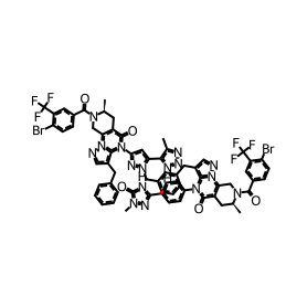 Cc1nn[nH]c1-c1cc(-n2c(=O)c3c(n4ncc(Cc5ccccc5)c24)CN(C(=O)c2ccc(Br)c(C(F)(F)F)c2)[C@@H](C)C3)nn1Cc1cccc(Cc2cnn3c4c(c(=O)n(-c5ccc(-c6nn(C)c(=O)[nH]6)cc5)c23)C[C@H](C)N(C(=O)c2ccc(Br)c(C(F)(F)F)c2)C4)c1